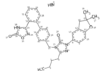 Br.CCCCc1nn(-c2ccc3c(c2)CC(C)(C)O3)c(=O)n1Cc1ccc(-c2ccccc2-c2noc(=O)[nH]2)cc1